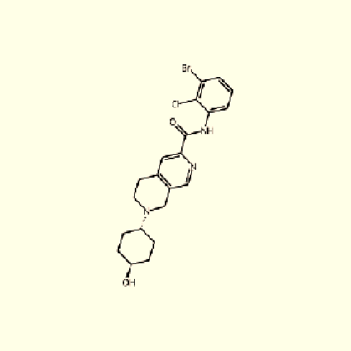 O=C(Nc1cccc(Br)c1Cl)c1cc2c(cn1)CN([C@H]1CC[C@H](O)CC1)CC2